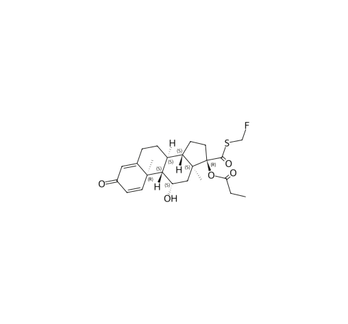 CCC(=O)O[C@]1(C(=O)SCF)CC[C@H]2[C@@H]3CCC4=CC(=O)C=C[C@]4(C)[C@H]3[C@@H](O)C[C@@]21C